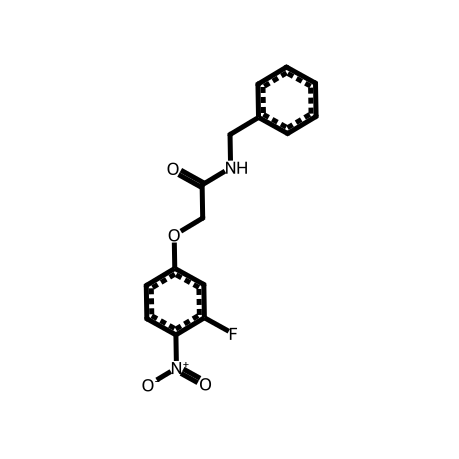 O=C(COc1ccc([N+](=O)[O-])c(F)c1)NCc1ccccc1